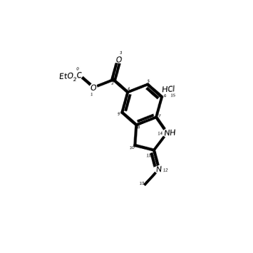 CCOC(=O)OC(=O)c1ccc2c(c1)CC(=NC)N2.Cl